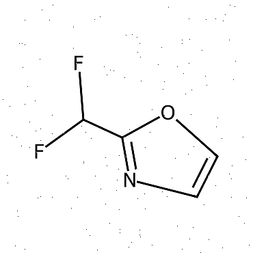 FC(F)c1ncco1